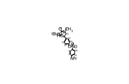 CCCc1ccc(S(=O)(=O)Oc2ccc(C(O)CN(C)C(=O)OC(C)(C)C)cc2)cc1